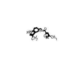 Cc1cc(C(=O)NCC2C=Cc3[nH]cc(C)c3C2)on1